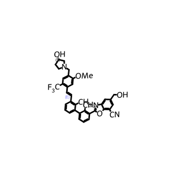 COc1cc(/C=C/c2cccc(-c3cccc(-c4nc5cc(CO)cc(C#N)c5o4)c3C)c2C)c(C(F)(F)F)cc1CN1CC[C@H](O)C1